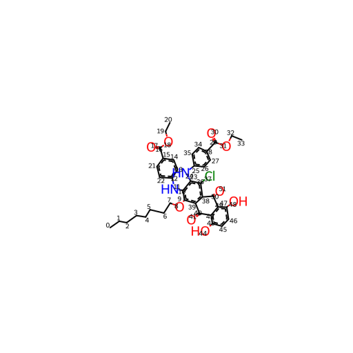 CCCCCCCCOc1c(Nc2ccc(C(=O)OCC)cc2)c(Nc2ccc(C(=O)OCC)cc2)c(Cl)c2c1C(=O)c1c(O)ccc(O)c1C2=O